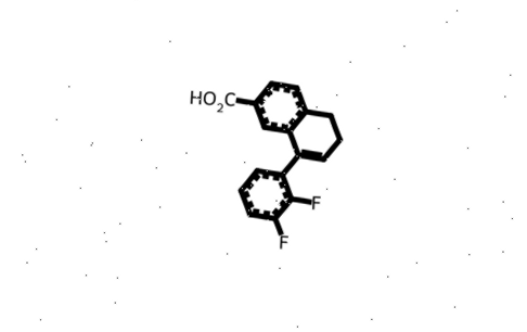 O=C(O)c1ccc2c(c1)C(c1cccc(F)c1F)=CCC2